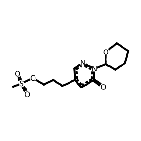 CS(=O)(=O)OCCCc1cnn(C2CCCCO2)c(=O)c1